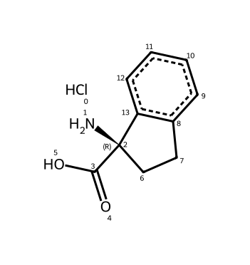 Cl.N[C@]1(C(=O)O)CCc2ccccc21